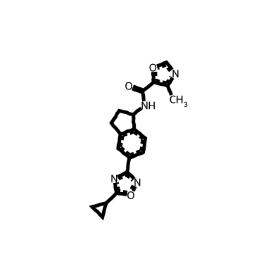 Cc1ncoc1C(=O)NC1CCc2cc(-c3noc(C4CC4)n3)ccc21